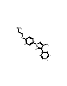 NCCOc1ccc(-n2cc(Br)c(-c3ccncc3)n2)cc1